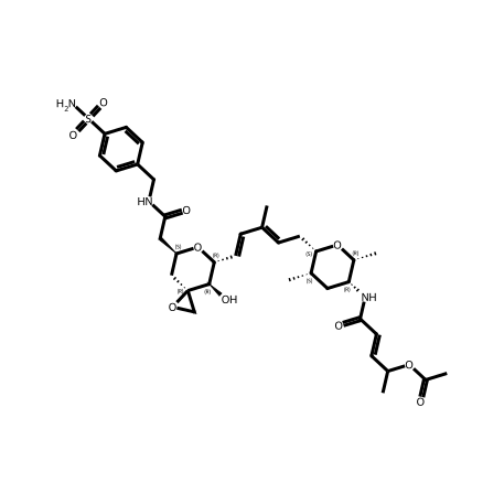 CC(=O)OC(C)C=CC(=O)N[C@@H]1C[C@H](C)[C@H](CC=C(C)C=C[C@H]2O[C@H](CC(=O)NCc3ccc(S(N)(=O)=O)cc3)C[C@@]3(CO3)[C@@H]2O)O[C@@H]1C